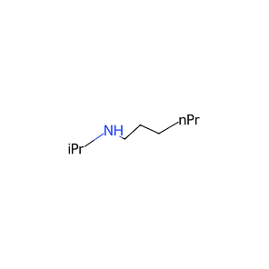 CCCCCCNC(C)C